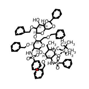 CCC1O[C@H](O[Si](C)(C)C(C)(C)C)C(NS(=O)(=O)c2ccccc2)[C@H](OCc2ccccc2)[C@@H]1O[C@@H]1OC(COCc2ccccc2)[C@@H](O[C@@H]2OC3COC(c4ccccc4)O[C@H]3[C@H](O)C2OCc2ccccc2)[C@@H](OCc2ccccc2)C1NS(=O)(=O)c1ccccc1